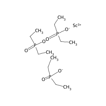 CCP(=O)([O-])CC.CCP(=O)([O-])CC.CCP(=O)([O-])CC.[Sc+3]